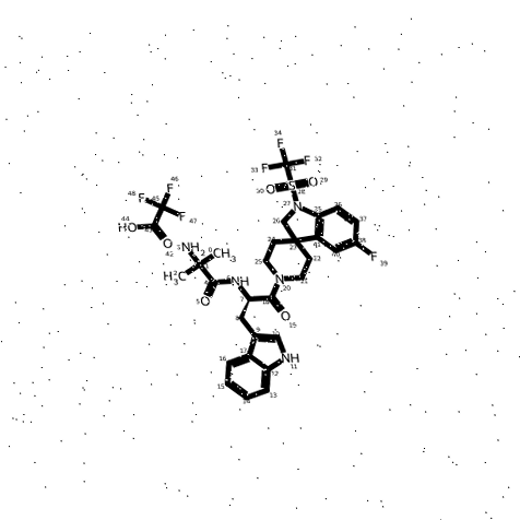 CC(C)(N)C(=O)N[C@H](Cc1c[nH]c2ccccc12)C(=O)N1CCC2(CC1)CN(S(=O)(=O)C(F)(F)F)c1ccc(F)cc12.O=C(O)C(F)(F)F